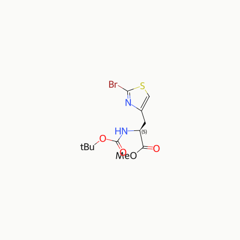 COC(=O)[C@H](Cc1csc(Br)n1)NC(=O)OC(C)(C)C